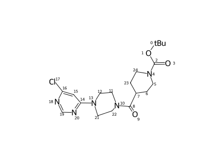 CC(C)(C)OC(=O)N1CCC(C(=O)N2CCN(c3cc(Cl)ncn3)CC2)CC1